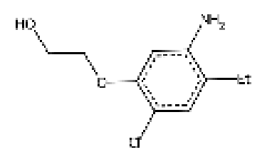 CCc1cc(Cl)c(OCCO)cc1N